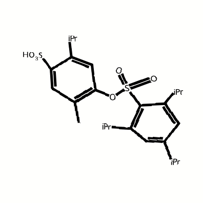 Cc1cc(S(=O)(=O)O)c(C(C)C)cc1OS(=O)(=O)c1c(C(C)C)cc(C(C)C)cc1C(C)C